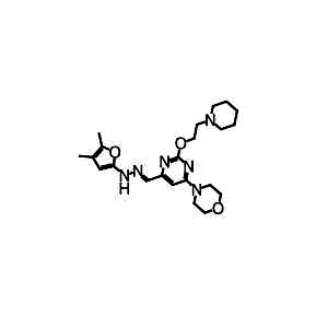 Cc1cc(NN=Cc2cc(N3CCOCC3)nc(OCCN3CCCCC3)n2)oc1C